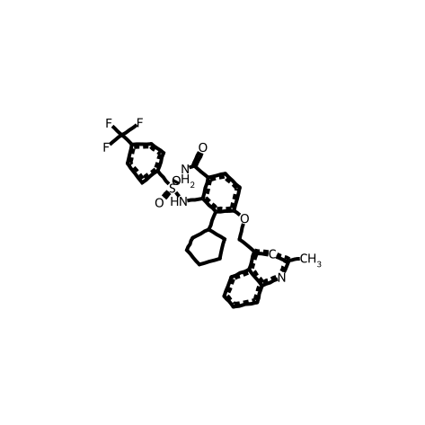 Cc1cc(COc2ccc(C(N)=O)c(NS(=O)(=O)c3ccc(C(F)(F)F)cc3)c2C2CCCCC2)c2ccccc2n1